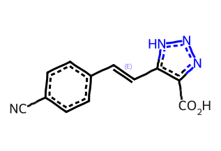 N#Cc1ccc(/C=C/c2[nH]nnc2C(=O)O)cc1